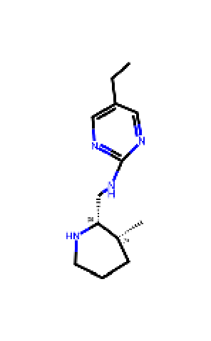 CCc1cnc(NC[C@H]2NCCC[C@H]2C)nc1